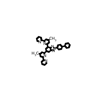 Cc1cc(-c2cc(-c3cc(C)cc(-c4ccccn4)n3)c3nn(-c4ccc(-c5ccccc5)cc4)nc3c2)nc(-c2ccccn2)c1